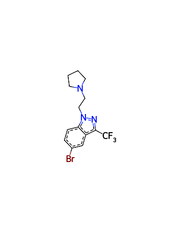 FC(F)(F)c1nn(CCN2CCCC2)c2ccc(Br)cc12